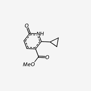 COC(=O)c1ccc(=O)[nH]c1C1CC1